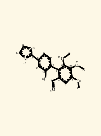 COc1cc(C=O)c(-c2ccc(-c3nccs3)cc2F)c(OC)c1OC